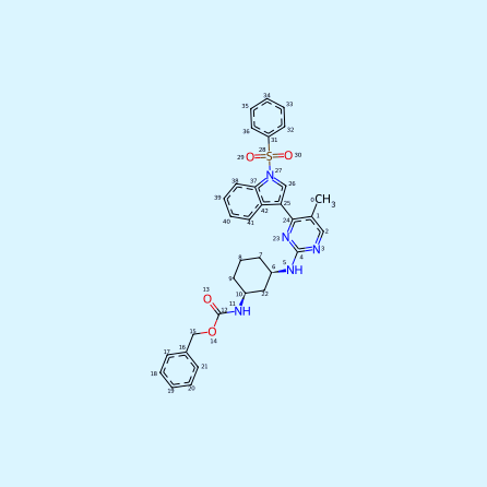 Cc1cnc(N[C@@H]2CCC[C@H](NC(=O)OCc3ccccc3)C2)nc1-c1cn(S(=O)(=O)c2ccccc2)c2ccccc12